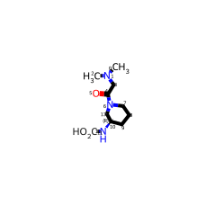 CN(C)CC(=O)N1CCC[C@@H](NC(=O)O)C1